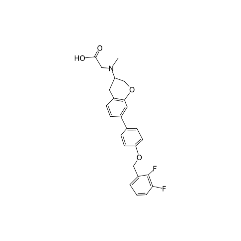 CN(CC(=O)O)C1COc2cc(-c3ccc(OCc4cccc(F)c4F)cc3)ccc2C1